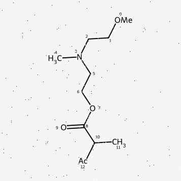 COCCN(C)CCOC(=O)C(C)C(C)=O